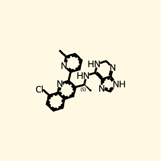 Cc1cccc(-c2nc3c(Cl)cccc3cc2[C@H](C)NC2=c3nc[nH]c3=NCN2)n1